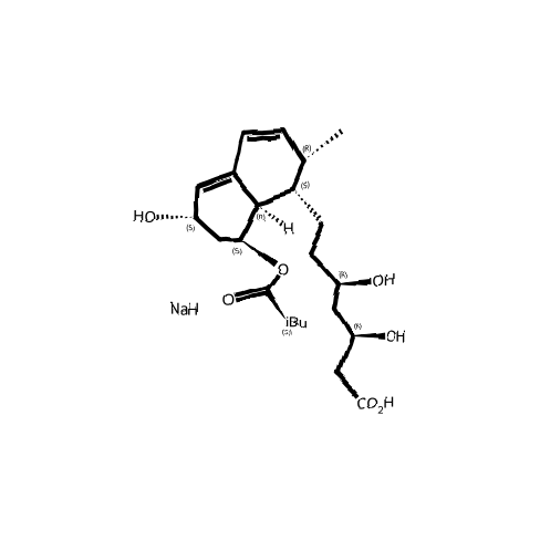 CC[C@H](C)C(=O)O[C@H]1C[C@H](O)C=C2C=C[C@H](C)[C@H](CC[C@@H](O)C[C@@H](O)CC(=O)O)[C@H]21.[NaH]